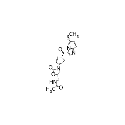 CSc1ccc2ncc(C(=O)c3ccc(N4C[C@H](CNC(C)=O)OC4=O)cc3)n2c1